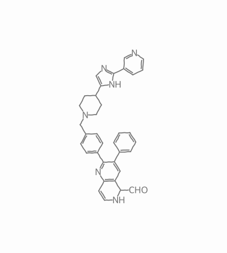 O=CC1NC=Cc2nc(-c3ccc(CN4CCC(c5cnc(-c6cccnc6)[nH]5)CC4)cc3)c(-c3ccccc3)cc21